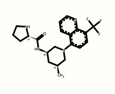 C[C@H]1C[C@@H](NC(=O)[C@@H]2CCCN2)CN(c2ccc(C(F)(F)F)c3ncccc23)C1